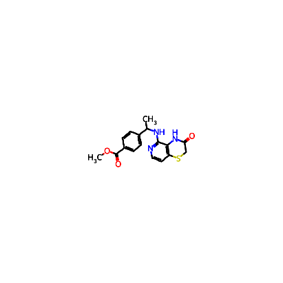 COC(=O)c1ccc(C(C)Nc2nccc3c2NC(=O)CS3)cc1